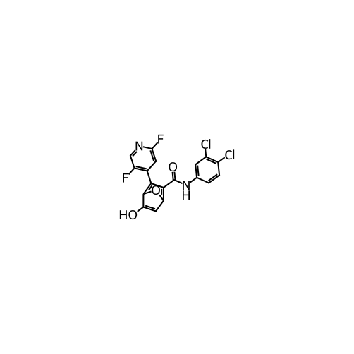 O=C(Nc1ccc(Cl)c(Cl)c1)c1c(-c2cc(F)ncc2F)c2oc1cc2O